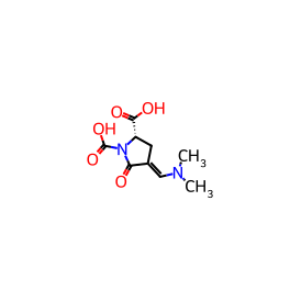 CN(C)/C=C1\C[C@@H](C(=O)O)N(C(=O)O)C1=O